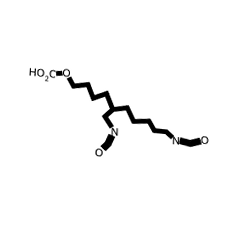 O=C=NCCCCCC(CCCCOC(=O)O)CN=C=O